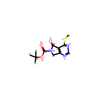 CSc1ncnc2c1C(=O)N(C(=O)OC(C)(C)C)C2